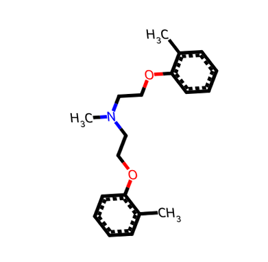 Cc1ccccc1OCCN(C)CCOc1ccccc1C